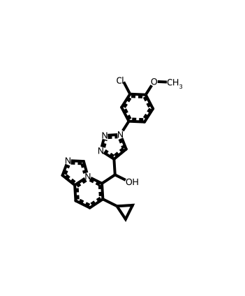 COc1ccc(-n2cc(C(O)c3c(C4CC4)ccc4cncn34)nn2)cc1Cl